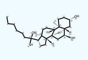 CCCCCC[C@@](O)(S)[C@H]1CC[C@H]2[C@@H]3C[C@H](O)[C@H]4C[C@@H](O)CC[C@]4(C)[C@H]3CC[C@@]21C